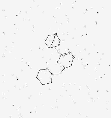 C1CCN(CC2CON=C(C3CN4CCC3CC4)O2)CC1